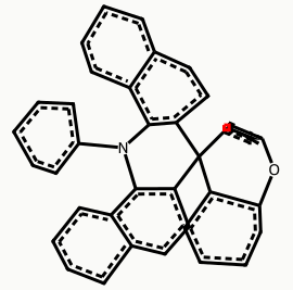 c1ccc(N2c3c(ccc4ccccc34)C3(c4ccccc4Oc4ccccc43)c3ccc4ccccc4c32)cc1